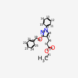 CCOC(=O)CCc1cn(-c2ccccc2)nc1OCc1ccccc1